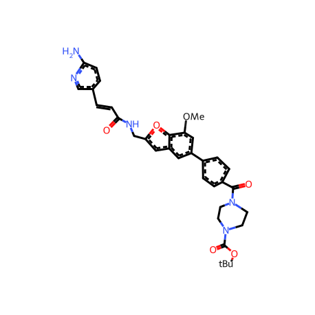 COc1cc(-c2ccc(C(=O)N3CCN(C(=O)OC(C)(C)C)CC3)cc2)cc2cc(CNC(=O)C=Cc3ccc(N)nc3)oc12